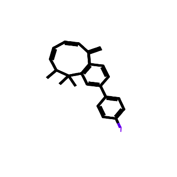 C=C1/C=C\C=C/C(C)C(C)(C)c2cc(-c3ccc(I)cc3)ccc21